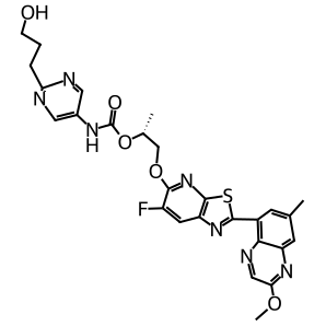 COc1cnc2c(-c3nc4cc(F)c(OC[C@@H](C)OC(=O)Nc5cnc(CCCO)nc5)nc4s3)cc(C)cc2n1